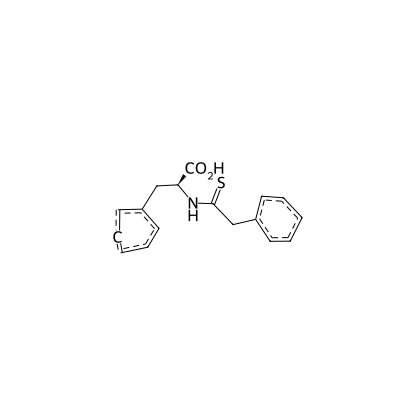 O=C(O)[C@H](Cc1ccccc1)NC(=S)Cc1ccccc1